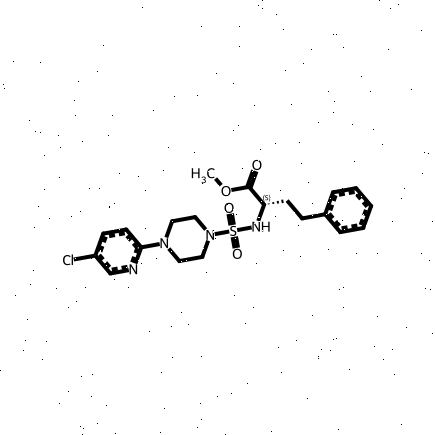 COC(=O)[C@H](CCc1ccccc1)NS(=O)(=O)N1CCN(c2ccc(Cl)cn2)CC1